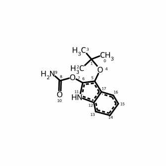 CC(C)(C)Oc1c(OC(N)=O)[nH]c2ccccc12